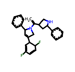 C=C(C1CNC(c2ccccc2)C1)N1CC(C2C=C(F)C=CC2F)=CC1c1ccccc1